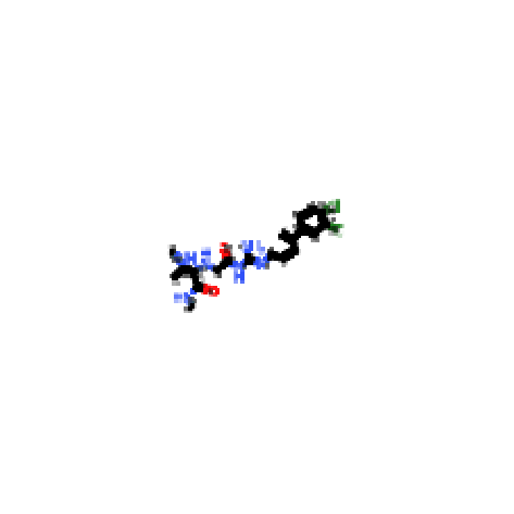 C=C(/C=C\C/N=C(\N)NC(=O)CN/C(C(=O)NC)=C(/C)NC)c1ccc(Cl)c(Cl)c1